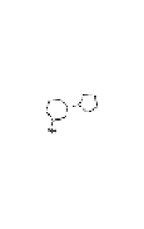 SC1CCCC(C2CCCC2)C1